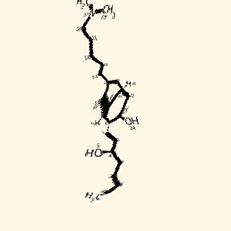 CCCC[C@@H](O)/C=C/[C@@H]1[C@H]2CC(CCCCCN(C)C)=C[C@H]2C[C@H]1O